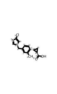 Cc1cc(Cn2cnc(Cl)c2)ccc1[C@@H]1C[C@H]1C(=O)O